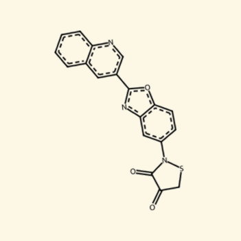 O=C1CSN(c2ccc3oc(-c4cnc5ccccc5c4)nc3c2)C1=O